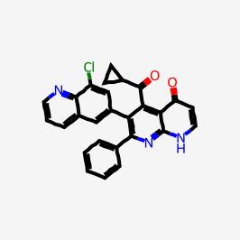 O=C(c1c(-c2cc(Cl)c3ncccc3c2)c(-c2ccccc2)nc2[nH]ccc(=O)c12)C1CC1